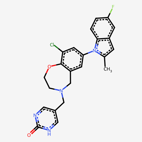 Cc1cc2cc(F)ccc2n1-c1cc(Cl)c2c(c1)CN(Cc1cnc(=O)[nH]c1)CCO2